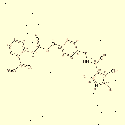 CNC(=O)c1ccccc1NC(=O)COc1ccc(CNC(=O)c2c(Cl)c(C)nn2C)cc1